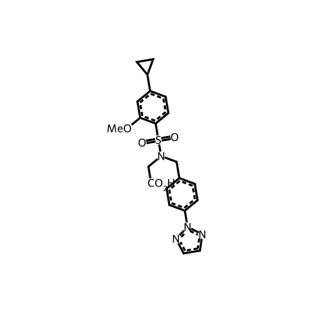 COc1cc(C2CC2)ccc1S(=O)(=O)N(CC(=O)O)Cc1ccc(-n2nccn2)cc1